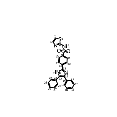 O=S(=O)(Nc1nccs1)c1ccc(-c2nc(-c3ccccc3)c(-c3ccccc3)[nH]2)cc1